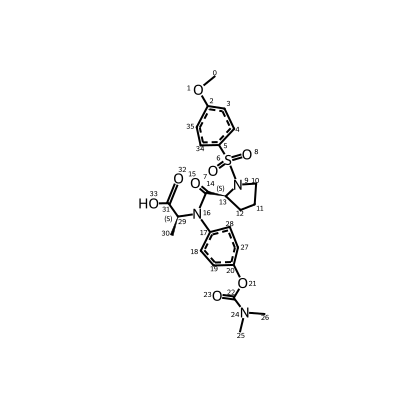 COc1ccc(S(=O)(=O)N2CCC[C@H]2C(=O)N(c2ccc(OC(=O)N(C)C)cc2)[C@@H](C)C(=O)O)cc1